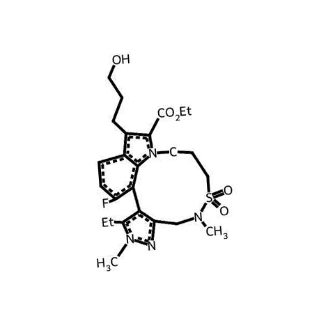 CCOC(=O)c1c(CCCO)c2ccc(F)c3c2n1CCCS(=O)(=O)N(C)Cc1nn(C)c(CC)c1-3